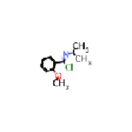 COc1ccccc1/C(Cl)=N/C(C)C